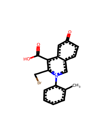 Cc1ccccc1-n1cc2ccc(=O)cc-2c(C(=O)O)c1CBr